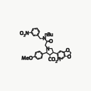 CCCCN(Cc1cccc([N+](=O)[O-])c1)C(=O)CN1CC(c2ccc3c(c2)OCO3)C(C(=O)O)C1c1ccc(OC)cc1